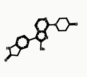 CC(C)(C)c1nc2c(N3CCC(=O)CC3)nccn2c1-c1ccc2c(c1)CC(=O)N2